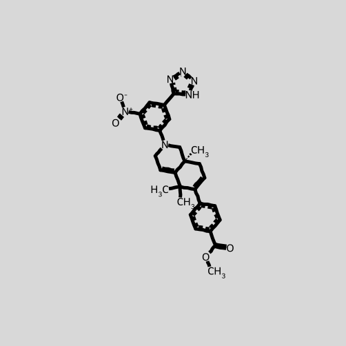 COC(=O)c1ccc(C2=CC[C@]3(C)CN(c4cc(-c5nnn[nH]5)cc([N+](=O)[O-])c4)CC=C3C2(C)C)cc1